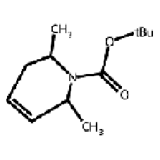 CC1C=CCC(C)N1C(=O)OC(C)(C)C